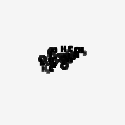 Cc1noc(NS(=O)(=O)c2ccccc2-c2ccc(-c3ncco3)cc2CN(C)C(=O)Cc2ccccn2)c1C